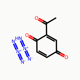 CC(=O)C1=CC(=O)C=CC1=O.[N-]=[N+]=N.[N-]=[N+]=[N-]